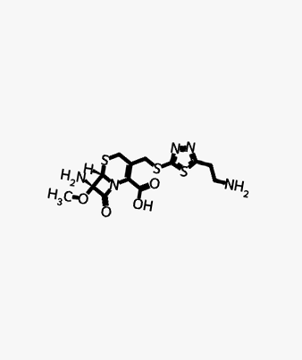 CO[C@@]1(N)C(=O)N2C(C(=O)O)=C(CSc3nnc(CCN)s3)CS[C@H]21